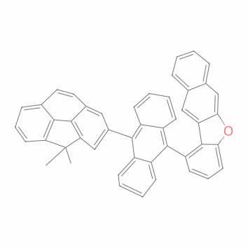 CC1(C)c2cccc3ccc4cc(-c5c6ccccc6c(-c6cccc7oc8cc9ccccc9cc8c67)c6ccccc56)cc1c4c23